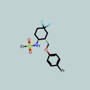 CCS(=O)(=O)N[C@H]1CCC(F)(F)C[C@@H]1COc1ccc(C(C)C)cc1